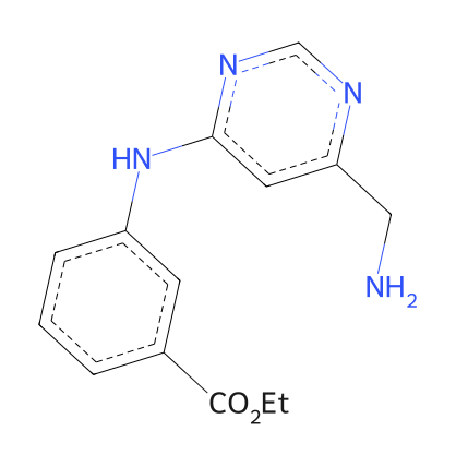 CCOC(=O)c1cccc(Nc2cc(CN)ncn2)c1